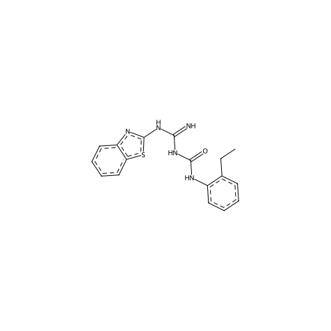 CCc1ccccc1NC(=O)NC(=N)Nc1nc2ccccc2s1